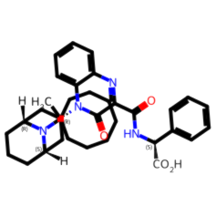 CC1(N2[C@@H]3CCC[C@H]2C[C@@H](n2c(=O)c(C(=O)N[C@H](C(=O)O)c4ccccc4)nc4ccccc42)C3)CCCCCCC1